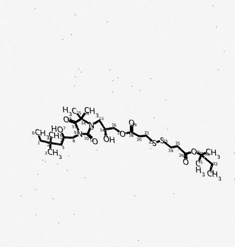 CCC(C)(C)CC(O)CN1C(=O)N(CC(O)COC(=O)CCSSCCC(=O)OC(C)(C)CC)C(C)(C)C1=O